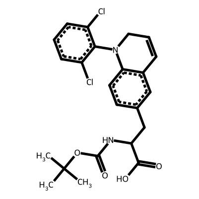 CC(C)(C)OC(=O)NC(Cc1ccc2c(c1)C=CCN2c1c(Cl)cccc1Cl)C(=O)O